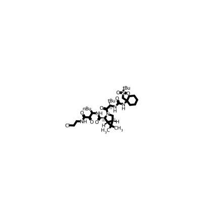 CCCCC(NC(=O)[C@@H]1[C@@H]2[C@H](CN1C(=O)[C@@H](NC(=O)NC1(CS(=O)(=O)C(C)(C)C)CCCCC1)C(C)(C)C)C2(C)C)C(=O)C(=O)NCCCl